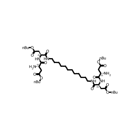 CCCCOC(=O)C[C@H](NC(=O)[C@@H](N)CC(=O)OCCCC)C(=O)NCCCCCCCCCCCCNC(=O)[C@H](CC(=O)OCCCC)NC(=O)[C@@H](N)CC(=O)OCCCC